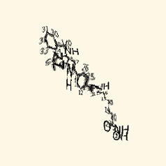 C[C@@H](Nc1ncnc2[nH]c(-c3ccc(NCCCCCCC(=O)NO)cc3)cc12)c1ccccc1